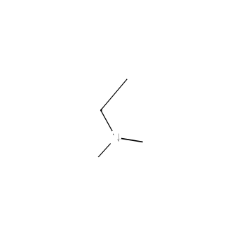 [CH2]N(C)CC